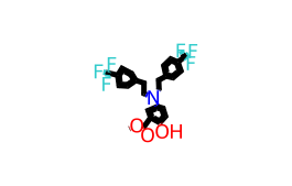 COC(=O)c1cc(N(CCc2ccc(C(F)(F)F)cc2)CCc2ccc(C(F)(F)F)cc2)ccc1O